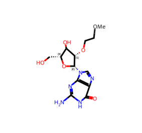 COCCO[C@H]1C(O)[C@@H](CO)O[C@H]1n1cnc2c(=O)[nH]c(N)nc21